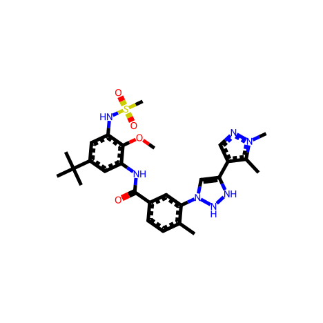 COc1c(NC(=O)c2ccc(C)c(N3C=C(c4cnn(C)c4C)NN3)c2)cc(C(C)(C)C)cc1NS(C)(=O)=O